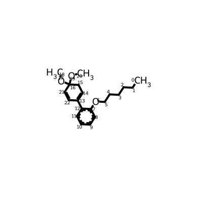 CCCCCCOc1ccccc1C1=CCC(OC)(OC)C=C1